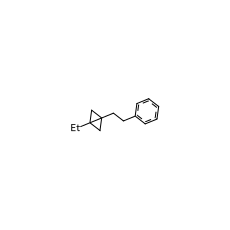 CCC12CC1(CCc1ccccc1)C2